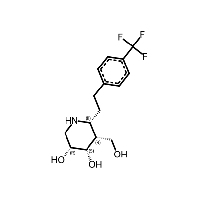 OC[C@@H]1[C@H](O)[C@H](O)CN[C@@H]1CCc1ccc(C(F)(F)F)cc1